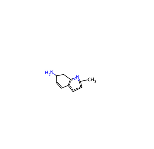 Cc1ccc2c(n1)CC(N)C=C2